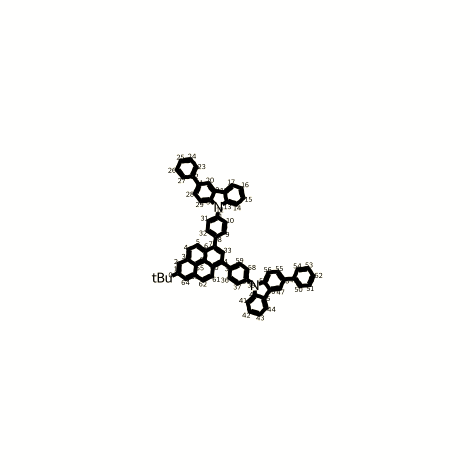 CC(C)(C)c1cc2ccc3c(-c4ccc(-n5c6ccccc6c6cc(-c7ccccc7)ccc65)cc4)cc(-c4ccc(-n5c6ccccc6c6cc(-c7ccccc7)ccc65)cc4)c4ccc(c1)c2c34